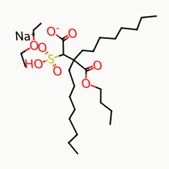 CCCCCCCCC(CCCCCCCC)(C(=O)OCCCC)C(C(=O)[O-])S(=O)(=O)O.CCOCC.[Na+]